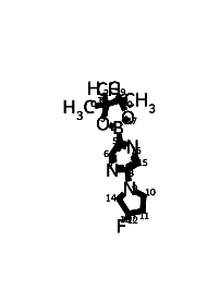 CC1(C)OB(c2cnc(N3CC[C@@H](F)C3)cn2)OC1(C)C